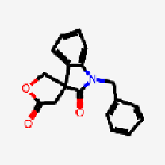 O=C1CC2(CO1)C(=O)N(Cc1ccccc1)c1ccccc12